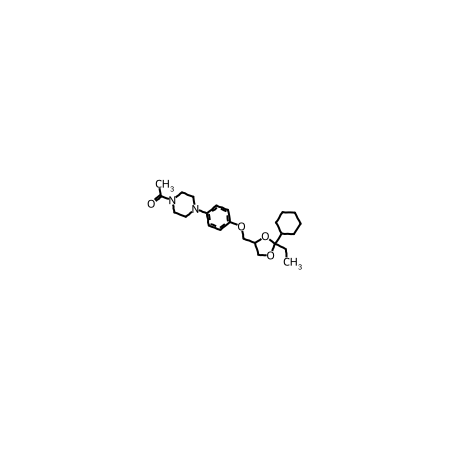 CCC1(C2CCCCC2)OCC(COc2ccc(N3CCN(C(C)=O)CC3)cc2)O1